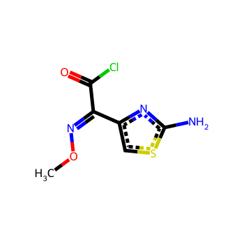 CO/N=C(/C(=O)Cl)c1csc(N)n1